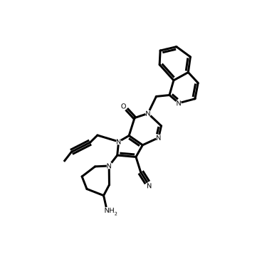 CC#CCn1c(N2CCCC(N)C2)c(C#N)c2ncn(Cc3nccc4ccccc34)c(=O)c21